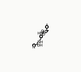 Cc1ccc(C23CC2CN(S(=O)(=O)Nc2ccc(CCNC[C@@H](O)c4cccnc4)cc2)C3)cc1